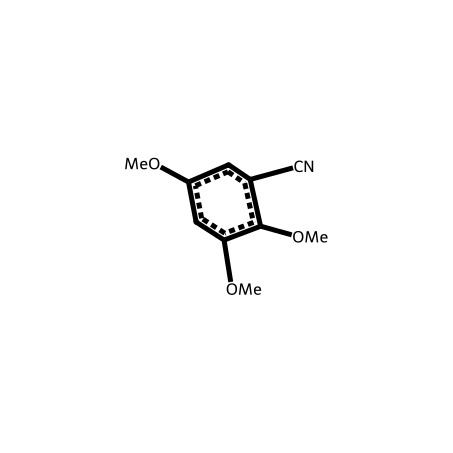 COc1cc(C#N)c(OC)c(OC)c1